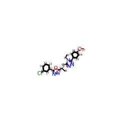 CCn1c(SC(C)c2nnc(-c3cccc(Cl)c3)o2)nnc1-c1ccc(OC)cc1